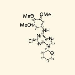 COc1cc(Nc2nc(Cl)nc3c2ncn3C2CCCCO2)cc(OC)c1OC